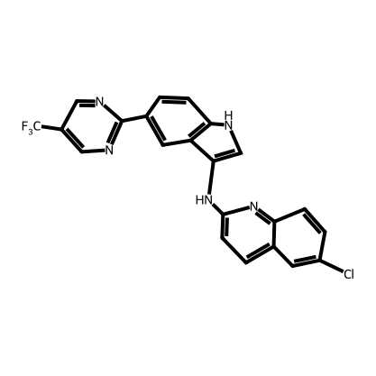 FC(F)(F)c1cnc(-c2ccc3[nH]cc(Nc4ccc5cc(Cl)ccc5n4)c3c2)nc1